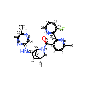 Cc1ccc(C(=O)N2C[C@H]3CC(Nc4cnc(C(F)(F)F)cn4)C2C3)c(-c2ncccc2F)n1